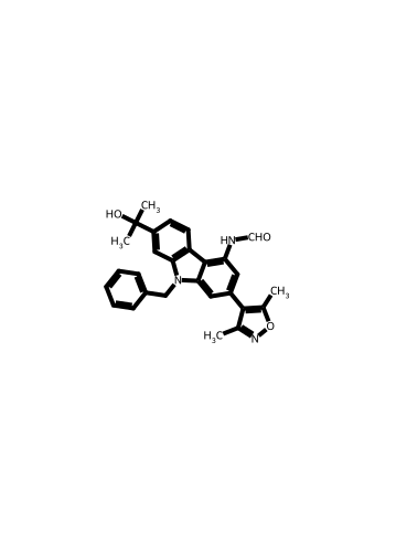 Cc1noc(C)c1-c1cc(NC=O)c2c3ccc(C(C)(C)O)cc3n(Cc3ccccc3)c2c1